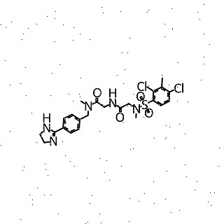 Cc1c(Cl)ccc(S(=O)(=O)N(C)CC(=O)NCC(=O)N(C)Cc2ccc(C3=NCCN3)cc2)c1Cl